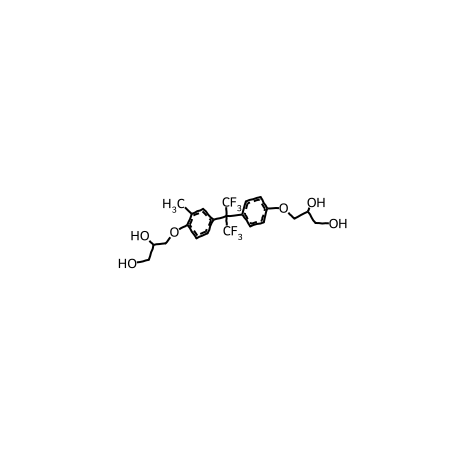 Cc1cc(C(c2ccc(OCC(O)CO)cc2)(C(F)(F)F)C(F)(F)F)ccc1OCC(O)CO